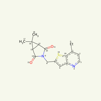 CCc1ccnc2cc(CN3C(=O)C4C(C3=O)C4(C)C)sc12